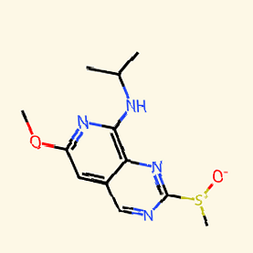 COc1cc2cnc([S+](C)[O-])nc2c(NC(C)C)n1